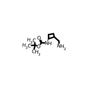 CC(C)(C)OC(=O)N[C@@H]1CCC1CN